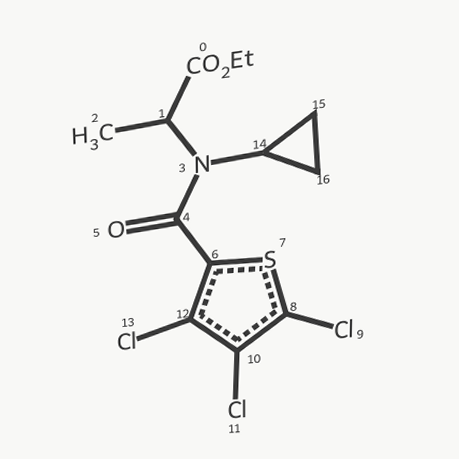 CCOC(=O)C(C)N(C(=O)c1sc(Cl)c(Cl)c1Cl)C1CC1